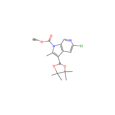 Cc1c(B2OC(C)(C)C(C)(C)O2)c2cc(Cl)ncc2n1C(=O)OC(C)(C)C